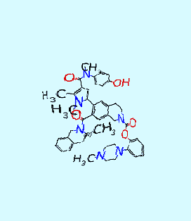 Cc1c(C(=O)N(C)c2ccc(O)cc2)cc(-c2cc3c(cc2C(=O)N2Cc4ccccc4C[C@H]2C)CN(C(=O)Oc2ccccc2N2CCN(C)CC2)CC3)n1C